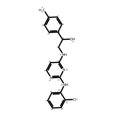 Cc1ccc(C(O)CNc2ccnc(Nc3ccccc3Cl)n2)cc1